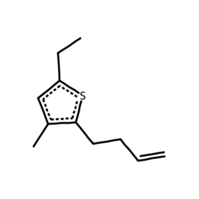 C=CCCc1sc(CC)cc1C